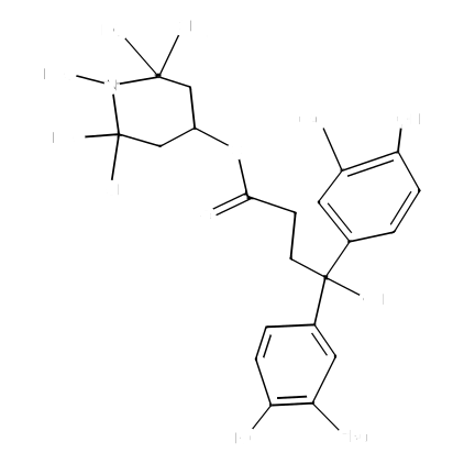 CN1C(C)(C)CC(OC(=O)CCC(C)(c2ccc(O)c(C(C)(C)C)c2)c2ccc(O)c(C(C)(C)C)c2)CC1(C)C